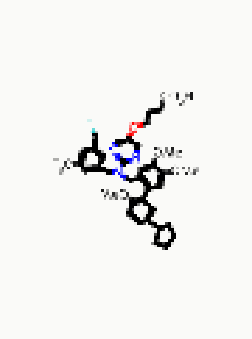 COc1cc(CN(Cc2cc(CF)cc(C(F)(F)F)c2)c2ncc(OCCCC(=O)O)cn2)c(-c2cc(C3CCCC3)ccc2OC)cc1OC